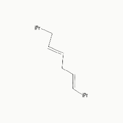 CC(C)C=CCC=CCC(C)C